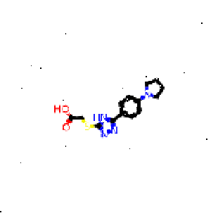 O=C(O)CSc1nnc(-c2ccc(N3CCCC3)cc2)[nH]1